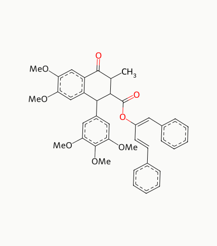 COc1cc2c(cc1OC)C(c1cc(OC)c(OC)c(OC)c1)C(C(=O)OC(C=Cc1ccccc1)=Cc1ccccc1)C(C)C2=O